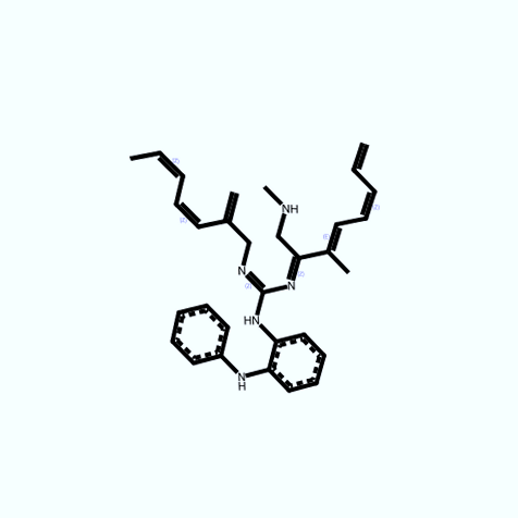 C=C\C=C/C=C(C)/C(CNC)=N/C(=N\CC(=C)/C=C\C=C/C)Nc1ccccc1Nc1ccccc1